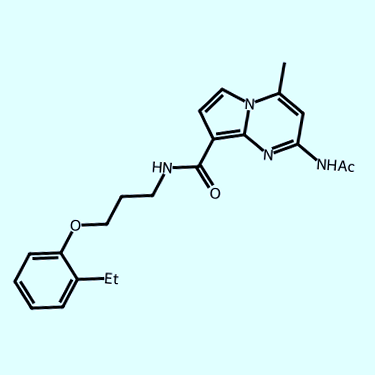 CCc1ccccc1OCCCNC(=O)c1ccn2c(C)cc(NC(C)=O)nc12